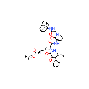 COC(=O)/C=C/CC[C@H](NC(=O)c1oc2ccccc2c1C)C(=O)Nc1cccn(CC(=O)NC23CC4CC(CC(C4)C2)C3)c1=O